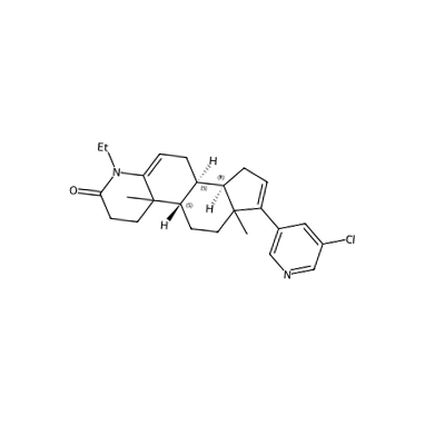 CCN1C(=O)CCC2(C)C1=CC[C@H]1[C@H]3CC=C(c4cncc(Cl)c4)C3(C)CC[C@@H]12